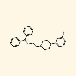 Fc1cccc(C2CCN(CCCN(c3ccccc3)c3ccccc3)CC2)c1